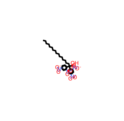 CCCCCCCCCCCCCCCCC(C(=O)O)(c1ccc([N+](=O)[O-])cc1[N+](=O)[O-])c1ccc([N+](=O)[O-])cc1[N+](=O)[O-]